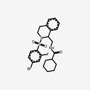 O=C(NCC1c2ccccc2CCN1S(=O)(=O)c1ccc(Br)cc1F)C1CCCCC1